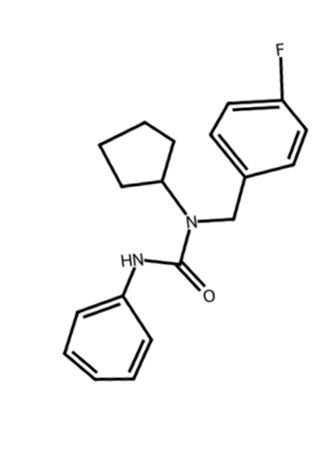 O=C(Nc1ccccc1)N(Cc1ccc(F)cc1)C1CCCC1